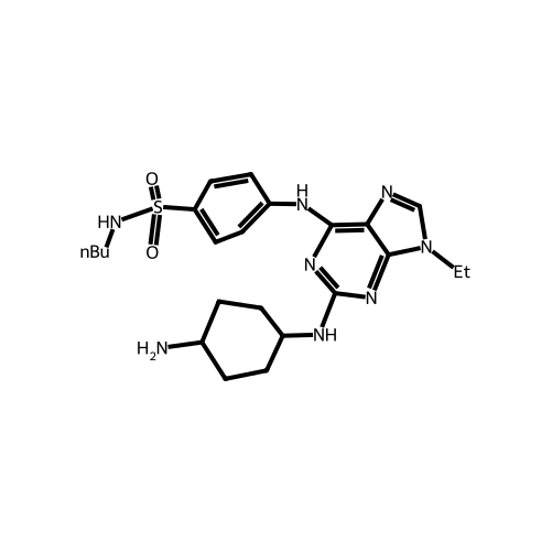 CCCCNS(=O)(=O)c1ccc(Nc2nc(NC3CCC(N)CC3)nc3c2ncn3CC)cc1